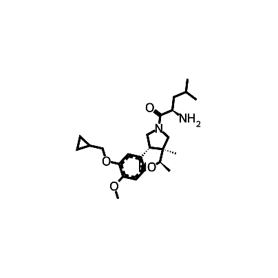 COc1ccc([C@@H]2CN(C(=O)[C@H](N)CC(C)C)C[C@@]2(C)[C@@H](C)O)cc1OCC1CC1